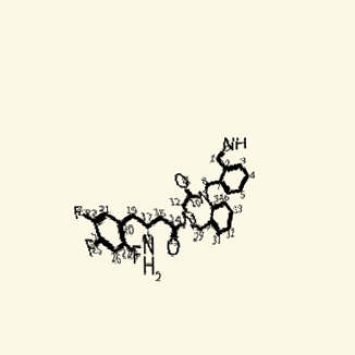 N=Cc1ccccc1CN1C(=O)CN(C(=O)C[C@H](N)Cc2cc(F)c(F)cc2F)Cc2ccccc21